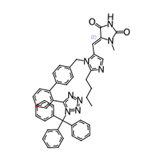 CCCCc1ncc(/C=C2/C(=O)NC(=O)N2C)n1Cc1ccc(-c2ccccc2-c2nnnn2C(c2ccccc2)(c2ccccc2)c2ccccc2)cc1